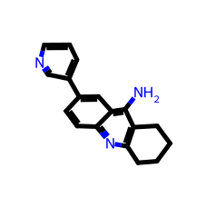 Nc1c2c(nc3ccc(-c4cccnc4)cc13)CCCC2